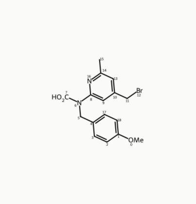 COc1ccc(CN(C(=O)O)c2cc(CBr)cc(C)n2)cc1